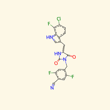 N#Cc1cc(F)c(CN2C(=O)N/C(=C\c3c[nH]c4c(F)c(Cl)ccc34)C2=O)cc1F